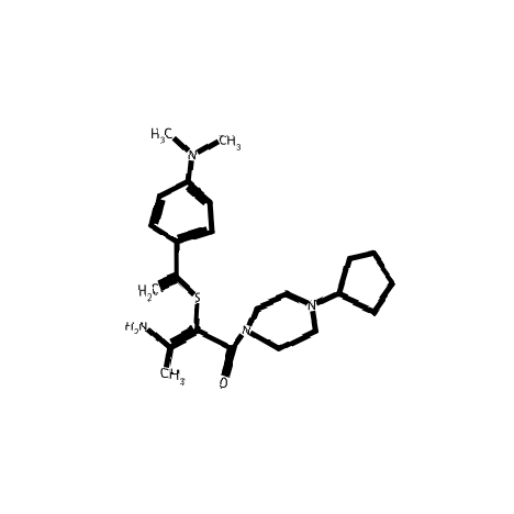 C=C(S/C(C(=O)N1CCN(C2CCCC2)CC1)=C(/C)N)c1ccc(N(C)C)cc1